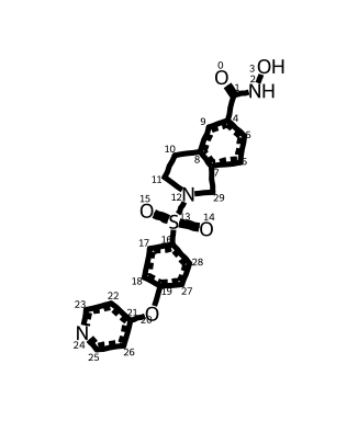 O=C(NO)c1ccc2c(c1)CCN(S(=O)(=O)c1ccc(Oc3ccncc3)cc1)C2